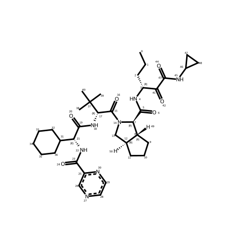 CCC[C@@H](NC(=O)[C@H]1[C@@H]2CCC[C@H]2CN1C(=O)[C@H](NC(=O)[C@H](NC(=O)c1cnccn1)C1CCCCC1)C(C)(C)C)C(=O)C(=O)NC1CC1